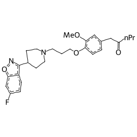 CCCC(=O)Cc1ccc(OCCCN2CCC(c3noc4cc(F)ccc34)CC2)c(OC)c1